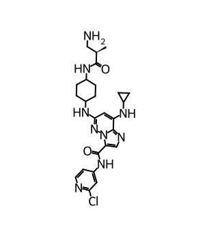 C[C@H](CN)C(=O)NC1CCC(Nc2cc(NC3CC3)c3ncc(C(=O)Nc4ccnc(Cl)c4)n3n2)CC1